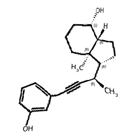 C[C@@H](C#Cc1cccc(O)c1)[C@H]1CC[C@H]2[C@@H](O)CCC[C@]12C